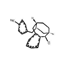 N#Cc1ccc(CN2C[C@H]3CC[C@H]2Cc2ccccc2C3Cl)cc1